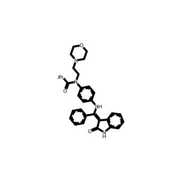 CC(C)C(=O)N(CCN1CCOCC1)c1ccc(NC(=C2C(=O)Nc3ccccc32)c2ccccc2)cc1